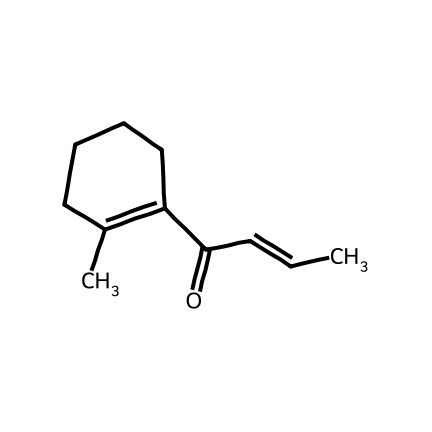 CC=CC(=O)C1=C(C)CCCC1